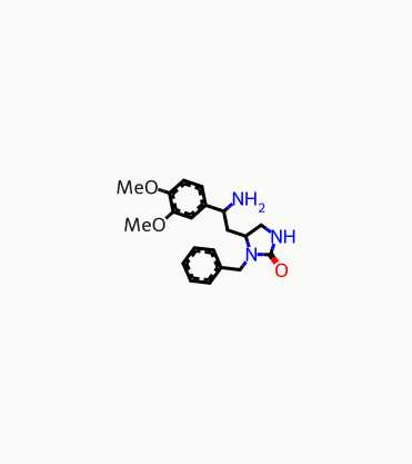 COc1ccc(C(N)CC2CNC(=O)N2Cc2ccccc2)cc1OC